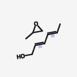 C/C=C/C=C/CO.CC1CO1